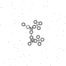 C1=CC(c2ccccc2)CC=C1N(c1ccc(-c2ccc3c(c2)c2cc(C4(c5ccccc5)c5ccccc5-c5ccccc54)ccc2n3-c2ccccc2)cc1)c1ccc(C2(c3ccccc3)c3ccccc3-c3ccccc32)cc1